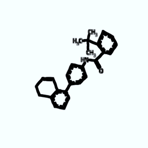 CC(C)(C)c1ccccc1C(=O)Nc1ccc(-c2cccc3c2C=CCC3)cc1